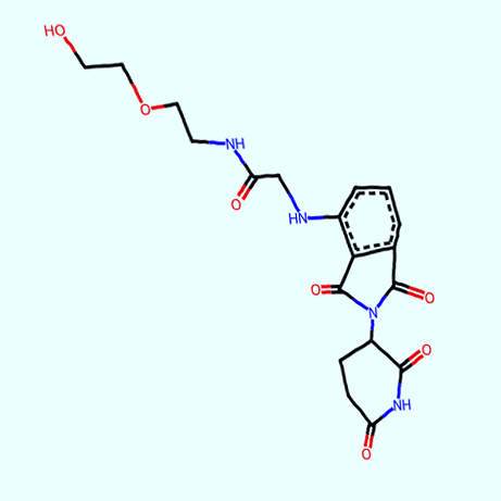 O=C(CNc1cccc2c1C(=O)N(C1CCC(=O)NC1=O)C2=O)NCCOCCO